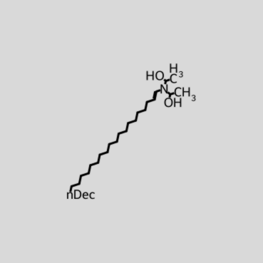 CCCCCCCCCCCCCCCCCCCCCCCCCCCC=CN(C(C)O)C(C)O